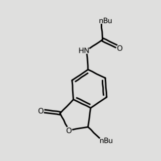 CCCCC(=O)Nc1ccc2c(c1)C(=O)OC2CCCC